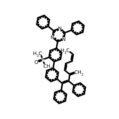 C=C(/C=C\C=C/C)/C(=C(/c1ccccc1)c1cccc(-c2ccc(-c3nc(-c4ccccc4)nc(-c4ccccc4)n3)cc2P(C)(C)=O)c1)c1ccccc1